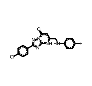 O=c1cc(CNc2ccc(F)cc2)[nH]c2nc(-c3ccc(Cl)cc3)nn12